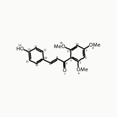 COc1cc(OC)c(C(=O)C=Cc2ccc(O)cc2)c(OC)c1